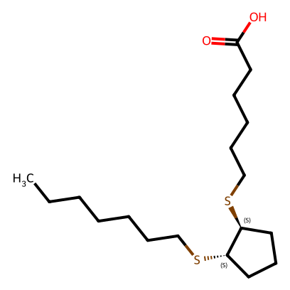 CCCCCCCS[C@H]1CCC[C@@H]1SCCCCCC(=O)O